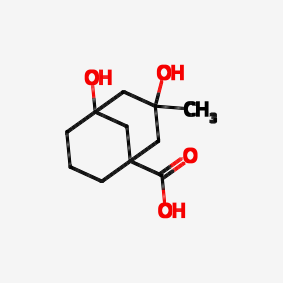 CC1(O)CC2(O)CCCC(C(=O)O)(C1)C2